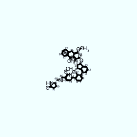 COc1nc(-c2cccc(-c3cccc4c3CC[C@@H]4Oc3nc(OC)c(CN4CC5CCC4(C(=O)O)CC5)cc3Cl)c2Cl)ccc1CNC[C@@H]1CCC(=O)N1